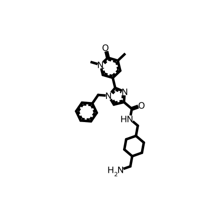 Cc1cc(-c2nc(C(=O)NCC3CCC(CN)CC3)cn2Cc2ccccc2)cn(C)c1=O